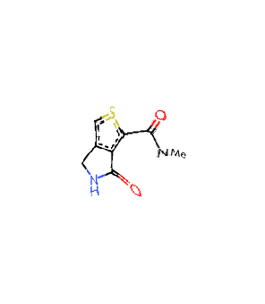 CNC(=O)c1scc2c1C(=O)NC2